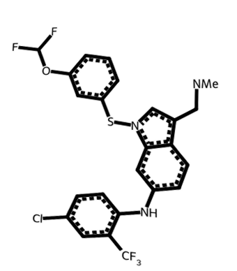 CNCc1cn(Sc2cccc(OC(F)F)c2)c2cc(Nc3ccc(Cl)cc3C(F)(F)F)ccc12